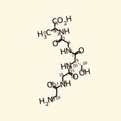 C[C@H](NC(=O)CNC(=O)[C@H](CO)NC(=O)CNC(=O)CN)C(=O)O